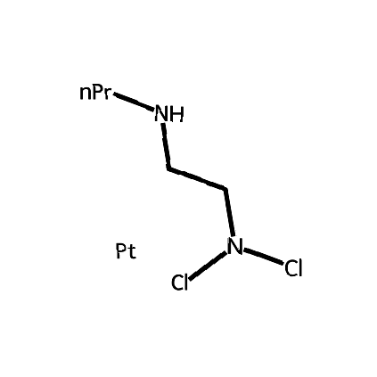 CCCNCCN(Cl)Cl.[Pt]